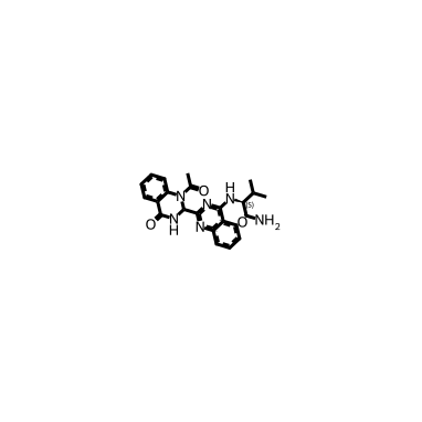 CC(=O)N1c2ccccc2C(=O)NC1c1nc(N[C@H](C(N)=O)C(C)C)c2ccccc2n1